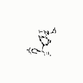 CC(C)c1cnc(NC2CC2)nc1